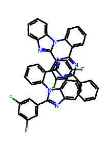 Fc1cc(F)cc(-c2nc3ccccc3n2-c2ccccc2-c2nc(-c3ccccc3)nc(-c3ccccc3-n3c(-c4cc(F)cc(F)c4)nc4ccccc43)n2)c1